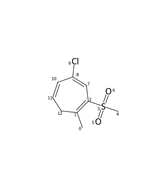 CC1=C(S(C)(=O)=O)C=C(Cl)C=CC1